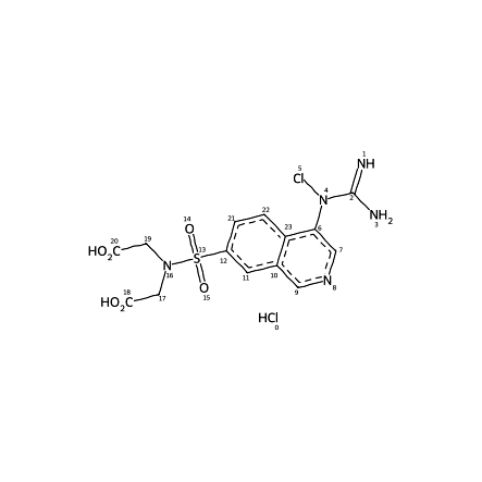 Cl.N=C(N)N(Cl)c1cncc2cc(S(=O)(=O)N(CC(=O)O)CC(=O)O)ccc12